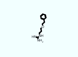 N=C(N)NCCCOCCc1ccccc1